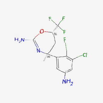 C[C@@]1(c2cc(N)cc(Cl)c2F)C[C@@H](C(F)(F)F)OC(N)=N1